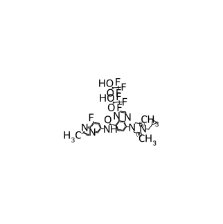 Cc1cn2cc(NC(=O)c3ccc(N4C[C@@H](C)N(CC5CC5)[C@@H](C)C4)c4nccnc34)cc(F)c2n1.O=C(O)C(F)(F)F.O=C(O)C(F)(F)F